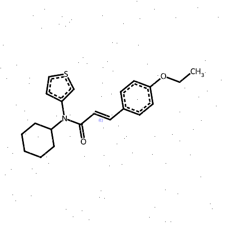 CCOc1ccc(/C=C/C(=O)N(c2ccsc2)C2CCCCC2)cc1